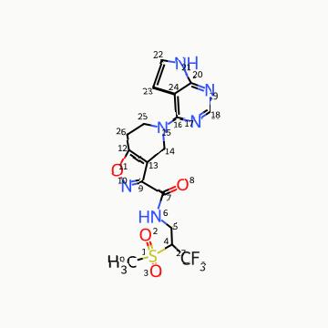 CS(=O)(=O)C(CNC(=O)c1noc2c1CN(c1ncnc3[nH]ccc13)CC2)C(F)(F)F